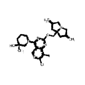 C=C1CN2CC(=C)CC2(COc2nc(N3CCC[C@@](C)(O)C3)c3cnc(Cl)c(F)c3n2)C1